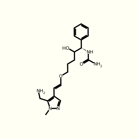 Cn1ncc(C=COCCCC(O)[C@@H](NC(N)=O)c2ccccc2)c1CN